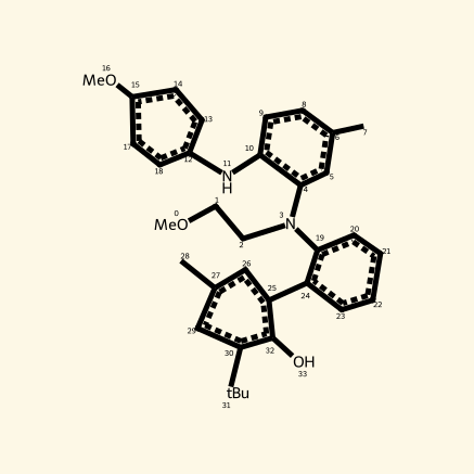 COCCN(c1cc(C)ccc1Nc1ccc(OC)cc1)c1ccccc1-c1cc(C)cc(C(C)(C)C)c1O